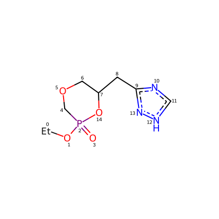 CCOP1(=O)COCC(Cc2nc[nH]n2)O1